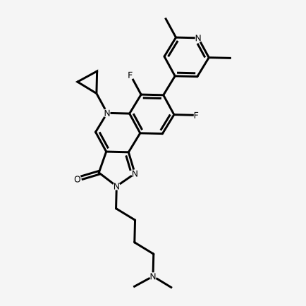 Cc1cc(-c2c(F)cc3c4nn(CCCCN(C)C)c(=O)c-4cn(C4CC4)c3c2F)cc(C)n1